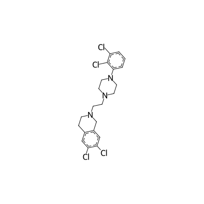 Clc1cc2c(cc1Cl)CN(CCN1CCN(c3cccc(Cl)c3Cl)CC1)CC2